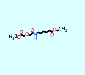 CCOC(=O)CCCCCNC(=O)COCC(=O)OC